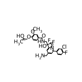 COc1cc(C(=O)NCC(O)(c2cc(CN)cc(-c3ccc(F)c(Cl)c3)n2)C(F)(F)F)ccc1OC[C@@H](C)O